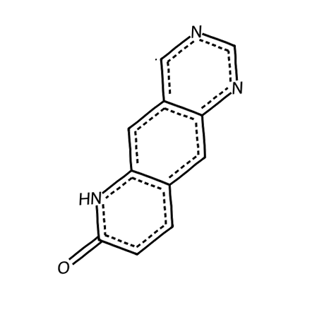 O=c1ccc2cc3ncn[c]c3cc2[nH]1